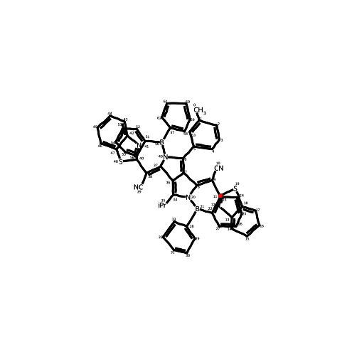 Cc1cccc(-c2c3/c(=C(\C#N)c4nc5ccccc5s4)n(B(c4ccccc4)c4ccccc4)c(C(C)C)c3/c(=C(\C#N)c3nc4ccccc4s3)n2B(c2ccccc2)c2ccccc2)c1